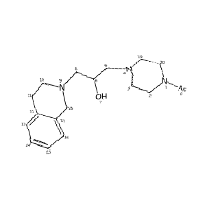 CC(=O)N1CCN(CC(O)CN2CCc3ccccc3C2)CC1